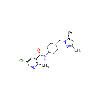 Cc1cc(C(C)C)n(CC2CCC(NC(=O)c3cc(Cl)cnc3C)CC2)n1